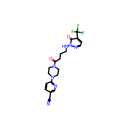 N#Cc1ccc(N2CCN(C(=O)CCCNn3nccc(C(F)(F)F)c3=O)CC2)nc1